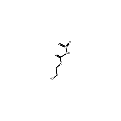 O=C(N[SH](=O)=O)OCCO